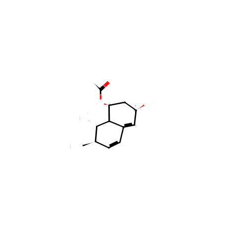 CC[C@H](C)C(=O)O[C@H]1C[C@@H](O)C=C2C=C[C@@H](C)[C@H](C)C21